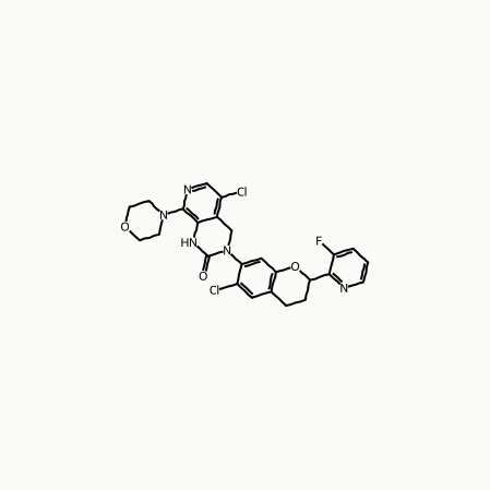 O=C1Nc2c(N3CCOCC3)ncc(Cl)c2CN1c1cc2c(cc1Cl)CCC(c1ncccc1F)O2